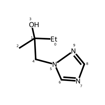 CCC(C)(O)Cn1cncn1